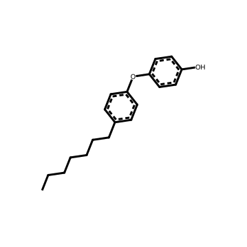 CCCCCCCc1ccc(Oc2ccc(O)cc2)cc1